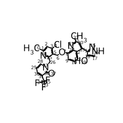 Cc1cc(Cl)c(COc2cccc3c(-c4n[nH]cc4O)cc(C)nc23)c(Cn2cccc(C(F)(F)F)c2=O)n1